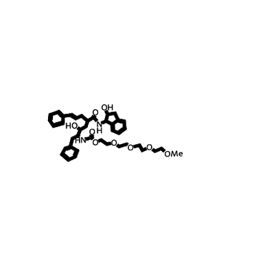 COCCOCCOCCOCCOC(=O)NC(Cc1ccccc1)C(O)CC(C/C=C/c1ccccc1)C(=O)NC1c2ccccc2CC1O